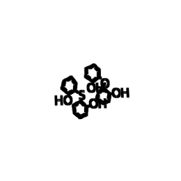 Oc1ccccc1Oc1ccccc1O.Oc1ccccc1Sc1ccccc1O